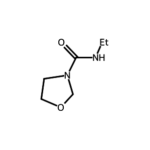 CCNC(=O)N1CCOC1